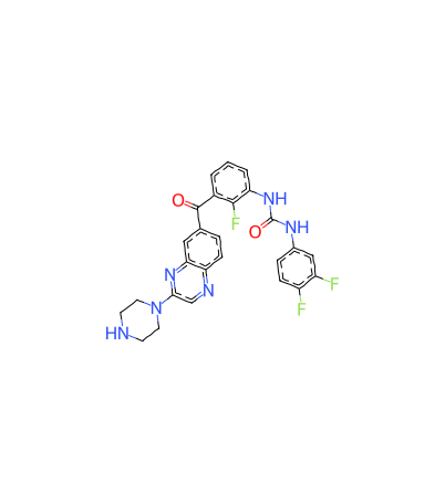 O=C(Nc1ccc(F)c(F)c1)Nc1cccc(C(=O)c2ccc3ncc(N4CCNCC4)nc3c2)c1F